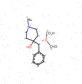 CC(C)(C)N1CCC(O)(Cc2ccccc2)CC1.O=[C]OC(=O)O